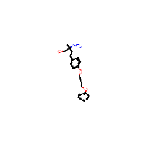 CC(N)(CO)CCc1ccc(OCCCOc2ccccc2)cc1